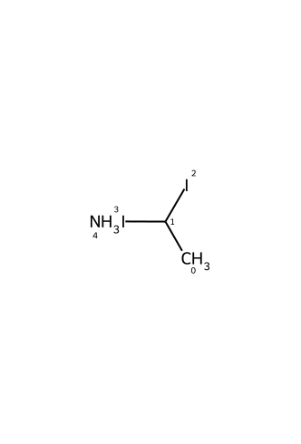 CC(I)I.N